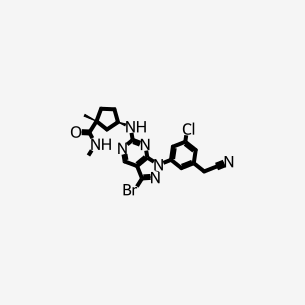 CNC(=O)[C@]1(C)CC[C@@H](Nc2ncc3c(Br)nn(-c4cc(Cl)cc(CC#N)c4)c3n2)C1